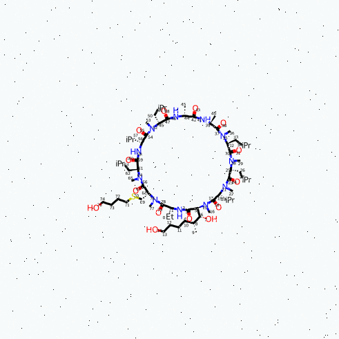 CC[C@H]1NC(=O)[C@H]([C@H](O)[C@H](C)CCCCO)N(C)C(=O)[C@@H](C(C)C)N(C)C(=O)[C@@H](CC(C)C)N(C)C(=O)[C@H](CC(C)C)N(C)C(=O)[C@H](C)NC(=O)[C@@H](C)NC(=O)[C@@H](CC(C)C)N(C)C(=O)[C@@H](C(C)C)NC(=O)[C@H](CC(C)C)N(C)C(=O)[C@@H](CSCCCCO)N(C)C1=O